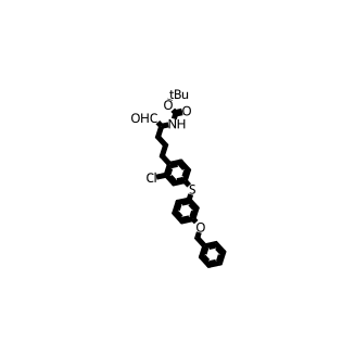 CC(C)(C)OC(=O)NC(C=O)CCCc1ccc(Sc2cccc(OCc3ccccc3)c2)cc1Cl